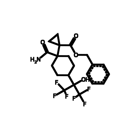 NC(=O)C1(C2(C(=O)OCc3ccccc3)CC2)CCC(C(O)(C(F)(F)F)C(F)(F)F)CC1